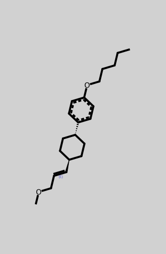 CCCCCOc1ccc([C@H]2CC[C@H](/C=C/COC)CC2)cc1